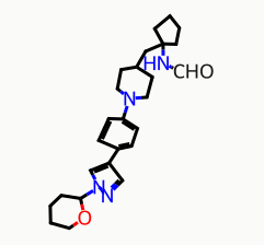 O=CNC1(CC2CCN(c3ccc(-c4cnn(C5CCCCO5)c4)cc3)CC2)CCCC1